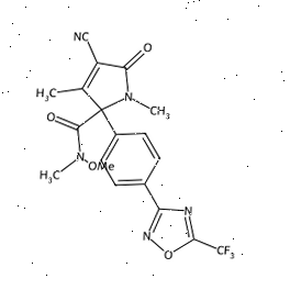 CON(C)C(=O)C1(c2ccc(-c3noc(C(F)(F)F)n3)cc2)C(C)=C(C#N)C(=O)N1C